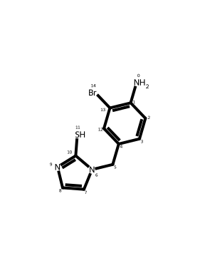 Nc1ccc(Cn2ccnc2S)cc1Br